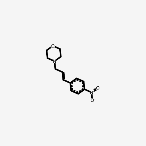 O=[N+]([O-])c1ccc(C=CCN2CCOCC2)cc1